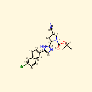 CC(C)(C)OC(=O)N1CC(C#N)CC1c1ncc(-c2ccc3cc(Br)ccc3c2)[nH]1